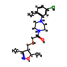 CC1=NOC(C)C1CSCC(=O)N1CCN(c2cc(Cl)ccc2C)CC1